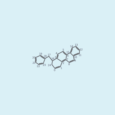 C1=Cc2c(ccc3c2ccc2ccccc23)C(Cc2ccccc2)C1